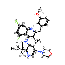 COc1cccc(Cc2nc3cc(F)cc(F)c3c(N3CC(C)(C)c4ncc(N5CCOCC5)cc43)c2C)c1